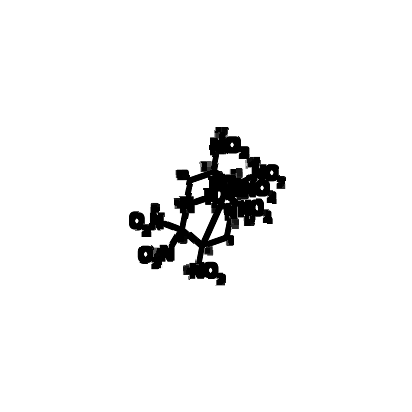 O=[N+]([O-])N1N2CC3([N+](=O)[O-])C([N+](=O)[O-])([N+](=O)[O-])N1CC([N+](=O)[O-])(N2[N+](=O)[O-])C3([N+](=O)[O-])[N+](=O)[O-]